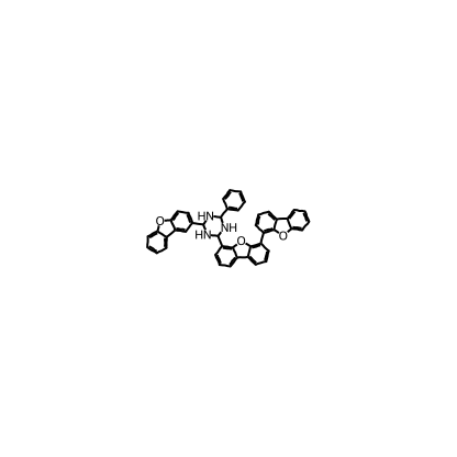 c1ccc(C2NC(c3ccc4oc5ccccc5c4c3)NC(c3cccc4c3oc3c(-c5cccc6c5oc5ccccc56)cccc34)N2)cc1